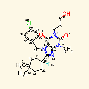 Cn1c(=O)n(CCCO)c(=O)c2c1nc(C1(F)CCC(C)(C)CC1)n2Cc1ccc(Cl)cc1